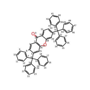 O=c1c2ccc(C(c3ccccc3)(c3ccccc3)c3ccccc3)cc2oc2cc(C(c3ccccc3)(c3ccccc3)c3ccccc3)ccc12